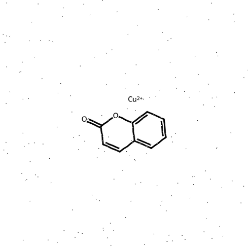 O=c1ccc2ccccc2o1.[Cu+2]